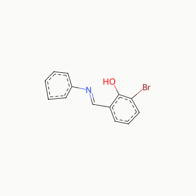 Oc1c(Br)cccc1/C=N/c1ccccc1